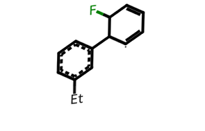 CCc1cccc(C2[C]=CC=CC2F)c1